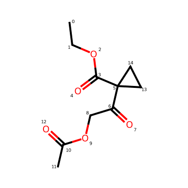 CCOC(=O)C1(C(=O)COC(C)=O)CC1